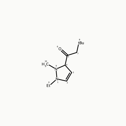 CCN1C=CC(C(=O)CC(C)(C)C)N1C